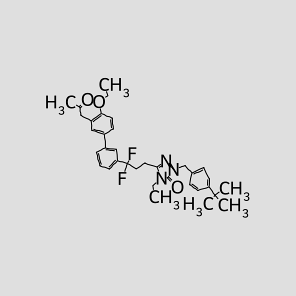 CCOc1ccc(-c2cccc(C(F)(F)CCc3nn(Cc4ccc(C(C)(C)C)cc4)c(=O)n3CC)c2)cc1CC(C)=O